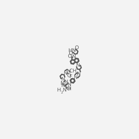 CN1CCN(C2CCCN(c3nnc(C(N)=O)c(Nc4ccc(N5CCN(CC6CCN(c7ccc8c9c(cccc79)C(=O)N8C7CCC(=O)NC7=O)CC6)CC5)c(F)c4)n3)C2)C1=O